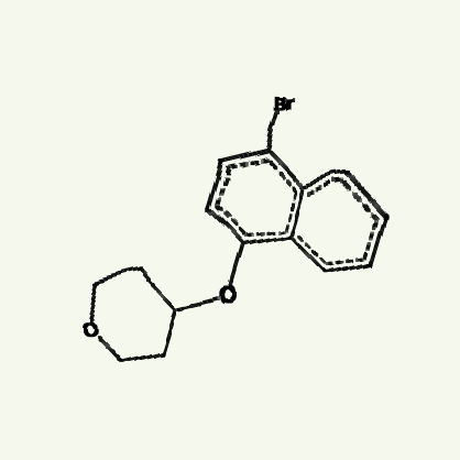 Brc1ccc(OC2CCOCC2)c2ccccc12